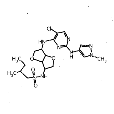 CCC(C)CS(=O)(=O)NC1COC2C(Nc3nc(Nc4cnn(C)c4)ncc3Cl)COC12